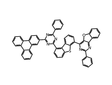 c1ccc(-c2nc(-c3ccc4c5ccccc5c5ccccc5c4c3)nc(-c3cccc4sc5c(-c6nc(-c7ccccc7)nc7c6oc6ccccc67)cccc5c34)n2)cc1